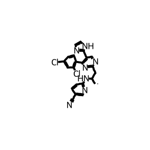 [CH2]C(Cc1ncc(-c2ncc[nH]2)c(-c2ccc(Cl)cc2Cl)n1)Nc1ccc(C#N)cn1